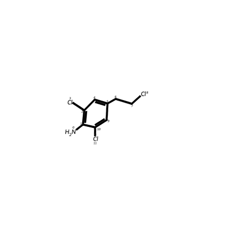 Nc1c(Cl)cc(CCCl)cc1Cl